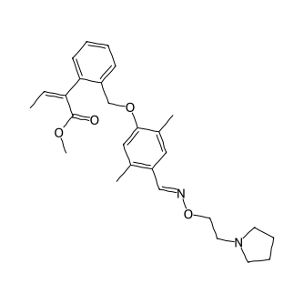 CC=C(C(=O)OC)c1ccccc1COc1cc(C)c(C=NOCCN2CCCC2)cc1C